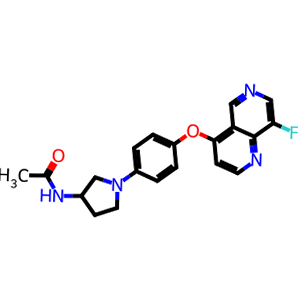 CC(=O)NC1CCN(c2ccc(Oc3ccnc4c(F)cncc34)cc2)C1